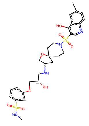 CNS(=O)(=O)c1cccc(OC[C@@H](O)CNC2COC3(CCN(S(=O)(=O)c4cnc5ccc(C)cc5c4O)CC3)C2)c1